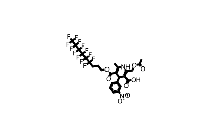 CC(=O)OCC1=C(C(=O)O)C(c2cccc([N+](=O)[O-])c2)C(C(=O)OCCCC(F)(F)C(F)(F)C(F)(F)C(F)(F)C(F)(F)C(F)(F)F)=C(C)N1